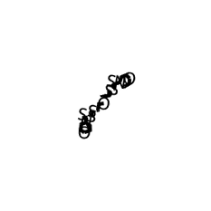 S=C(SSCCOCCSSC(=S)N1CCOCC1)N1CCOCC1